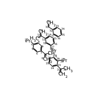 C=C(C)c1ccc(C(C)C)cc1.C=C(C)c1cccc(C(C)C)c1.C=C(C)c1ccccc1C(C)C.C=Cc1ccccc1